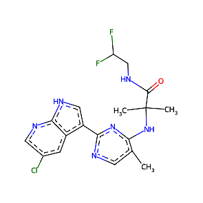 Cc1cnc(-c2c[nH]c3ncc(Cl)cc23)nc1NC(C)(C)C(=O)NCC(F)F